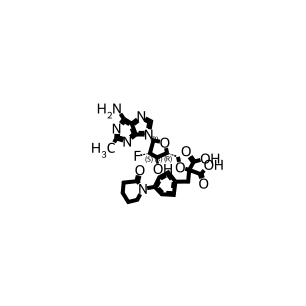 Cc1nc(N)c2ncn([C@@H]3O[C@H](COC(Cc4ccc(N5CCCCC5=O)cc4)(C(=O)O)C(=O)O)[C@@H](O)[C@@H]3F)c2n1